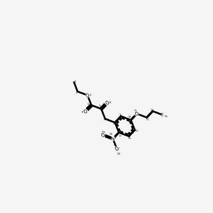 CCOC(=O)C(=O)Cc1cc(OCCF)ccc1[N+](=O)[O-]